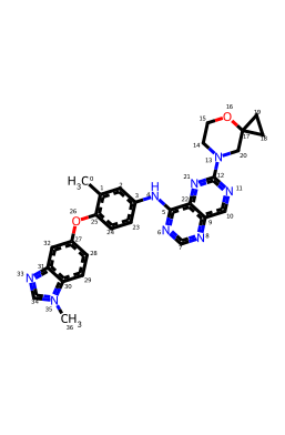 Cc1cc(Nc2ncnc3cnc(N4CCOC5(CC5)C4)nc23)ccc1Oc1ccc2c(c1)ncn2C